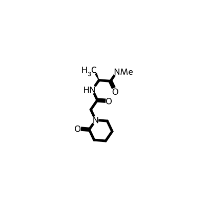 CNC(=O)[C@H](C)NC(=O)CN1CCCCC1=O